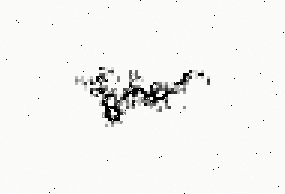 CCCCNC(=O)[C@H](C)C[C@H](O)[C@@H](N)CC(C)(C)CC(=O)N1C[C@H](C(=O)OC(C)C)Cc2ccccc21